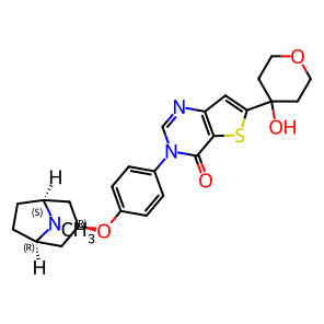 CN1[C@@H]2CC[C@H]1C[C@@H](Oc1ccc(-n3cnc4cc(C5(O)CCOCC5)sc4c3=O)cc1)C2